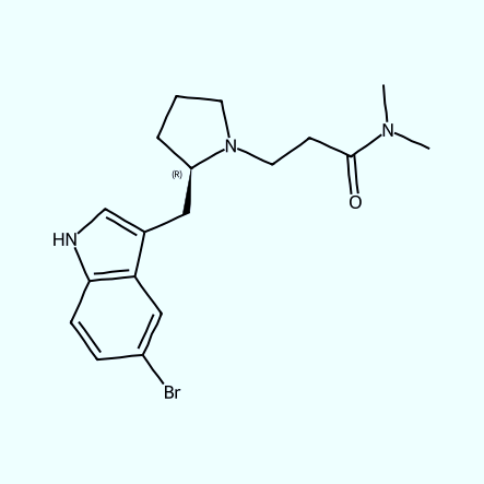 CN(C)C(=O)CCN1CCC[C@@H]1Cc1c[nH]c2ccc(Br)cc12